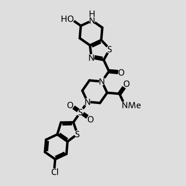 CNC(=O)C1CN(S(=O)(=O)c2cc3ccc(Cl)cc3s2)CCN1C(=O)c1nc2c(s1)CNC(O)C2